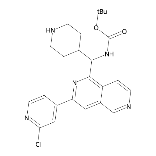 CC(C)(C)OC(=O)NC(c1nc(-c2ccnc(Cl)c2)cc2cnccc12)C1CCNCC1